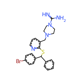 N=C(N)N1CCN(Cc2cccnc2SC(c2ccccc2)c2ccc(Br)cc2)CC1